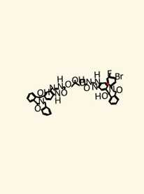 O=C(Nc1nc2cc(C3(O)c4ccccc4C(=O)N3Cc3ccccc3)ccc2[nH]1)OCC(O)COC(=O)Nc1nc2cc(C3(O)c4ccccc4C(=O)N3c3ccc(F)c(Br)c3)ccc2[nH]1